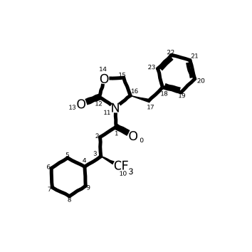 O=C(C[C@H](C1CCCCC1)C(F)(F)F)N1C(=O)OC[C@H]1Cc1ccccc1